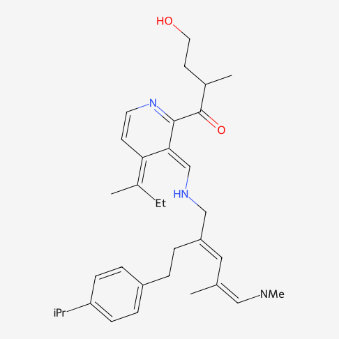 CC/C(C)=c1/ccnc(C(=O)C(C)CCO)/c1=C/NC/C(=C/C(C)=C\NC)CCc1ccc(C(C)C)cc1